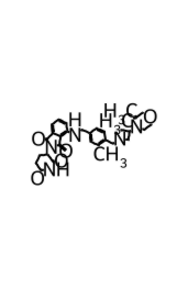 Cc1cc(CNc2cccc3c2C(=O)N(C2CCC(=O)NC2=O)C3=O)ccc1CN1CC(N2CCOCC2(C)C)C1